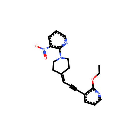 CCOc1ncccc1C#CC=C1CCN(c2ncccc2[N+](=O)[O-])CC1